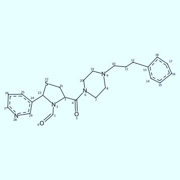 O=CN1C(C(=O)N2CCN(CCCc3ccccc3)CC2)CSC1c1cccnc1